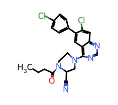 CCCC(=O)N1CCN(c2ncnc3cc(Cl)c(-c4ccc(Cl)cc4)cc23)CC1C#N